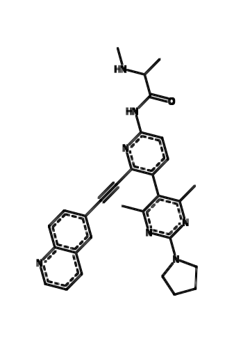 CNC(C)C(=O)Nc1ccc(-c2c(C)nc(N3CCCC3)nc2C)c(C#Cc2ccc3ncccc3c2)n1